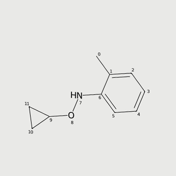 Cc1ccccc1NOC1CC1